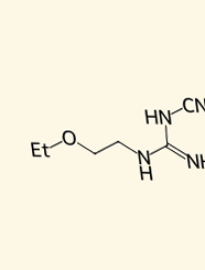 CCOCCNC(=N)NC#N